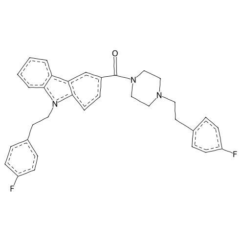 O=C(c1ccc2c(c1)c1ccccc1n2CCc1ccc(F)cc1)N1CCN(CCc2ccc(F)cc2)CC1